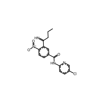 CCCC(=N)c1cc(C(=O)Nc2ccc(Cl)cn2)ccc1[N+](=O)[O-]